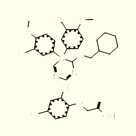 COc1ccc([N+]2(c3ccc(OC)c(Cl)c3)C=NC=NC2OCC2CCCCC2)cc1Cl.O=C(O)COc1ccc(Cl)cc1Cl